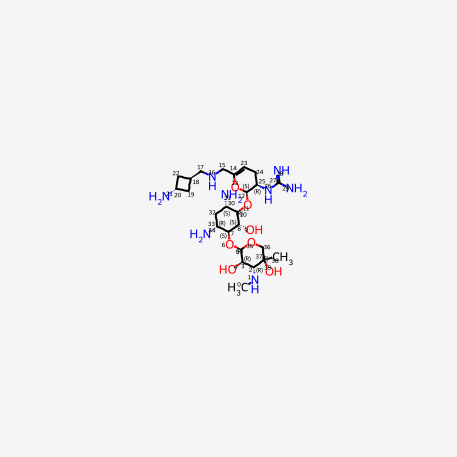 CN[C@@H]1[C@@H](O)[C@@H](O[C@@H]2[C@@H](O)[C@H](O[C@H]3OC(CNC[C@H]4C[C@H](N)C4)=CC[C@H]3NC(=N)N)[C@@H](N)C[C@H]2N)OC[C@]1(C)O